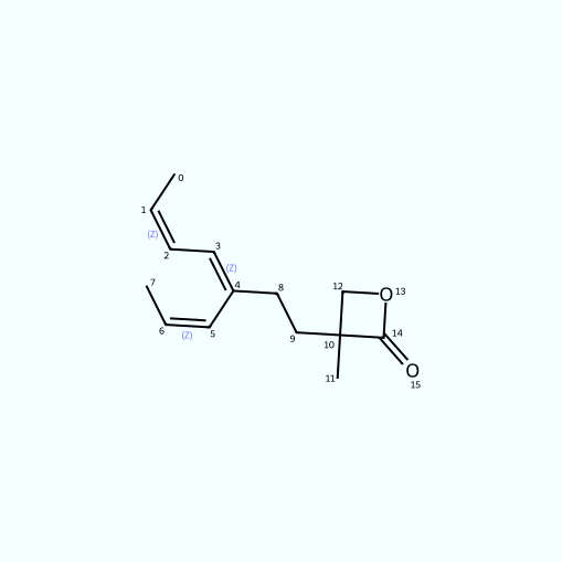 C\C=C/C=C(\C=C/C)CCC1(C)COC1=O